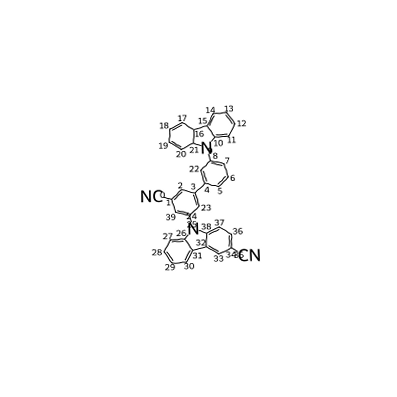 N#Cc1cc(-c2cccc(N3c4ccccc4C4C=CC=CC43)c2)cc(-n2c3ccccc3c3cc(C#N)ccc32)c1